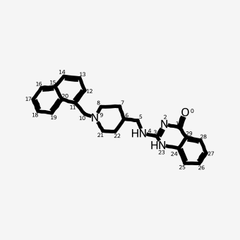 O=c1nc(NCC2CCN(Cc3cccc4ccccc34)CC2)[nH]c2ccccc12